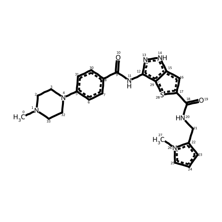 CN1CCN(c2ccc(C(=O)Nc3n[nH]c4cc(C(=O)NCc5cccn5C)sc34)cc2)CC1